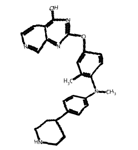 Cc1cc(Oc2nc(O)c3ccncc3n2)ccc1N(C)c1ccc(C2CCNCC2)cc1